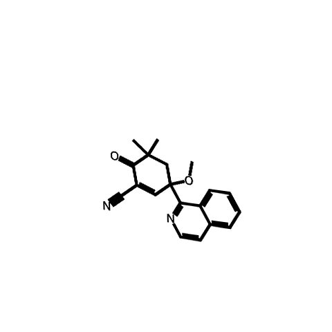 COC1(c2nccc3ccccc23)C=C(C#N)C(=O)C(C)(C)C1